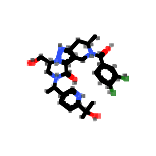 CC(c1ccc(C(C)(C)O)nc1)N1C[C@@H](CO)n2nc3c(c2C1=O)CN(C(=O)c1ccc(Cl)c(Cl)c1)[C@H](C)C3